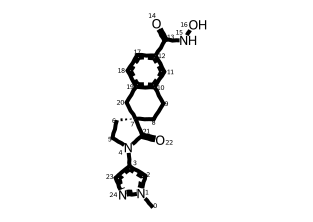 Cn1cc(N2CC[C@]3(CCc4cc(C(=O)NO)ccc4C3)C2=O)cn1